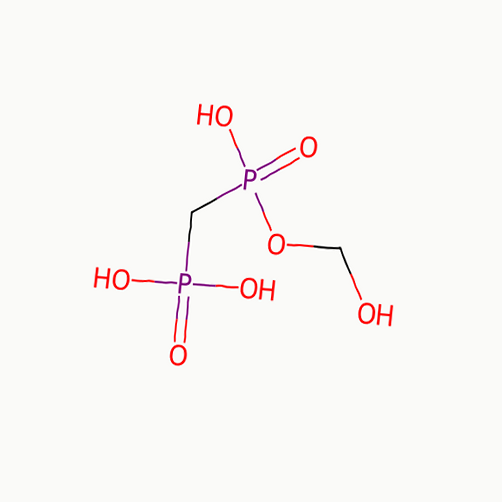 O=P(O)(O)CP(=O)(O)OCO